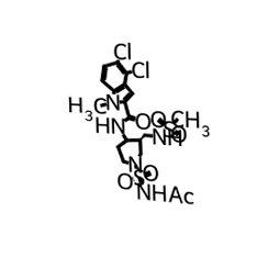 CC(=O)NS(=O)(=O)N1CCC(NC(=O)c2cc3c(Cl)c(Cl)ccc3n2C)[C@@H](CNS(C)(=O)=O)C1